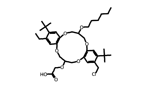 CCCCCCOC1COc2cc(C(C)(C)C)c(CC)cc2OCC(OCC(=O)O)COc2cc(CCl)c(C(C)(C)C)cc2OC1